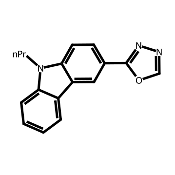 CCCn1c2ccccc2c2cc(-c3nnco3)ccc21